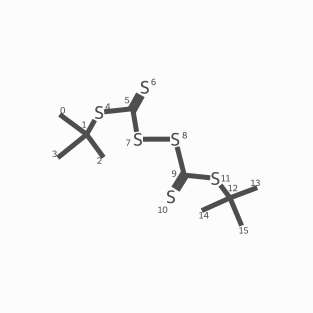 CC(C)(C)SC(=S)SSC(=S)SC(C)(C)C